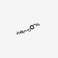 CC(C)Cc1ccc(OCCC=NOC(C)C)cc1